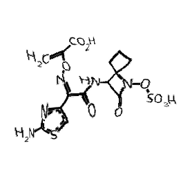 C=C(ON=C(C(=O)NC1C(=O)N(OS(=O)(=O)O)C12CCC2)c1csc(N)n1)C(=O)O